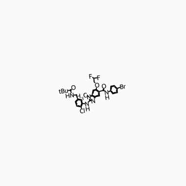 Cn1c(Nc2cc(CNC(=O)C(C)(C)C)ccc2Cl)nc2cc(C(=O)Nc3ccc(Br)cc3)c(OCC(F)F)cc21